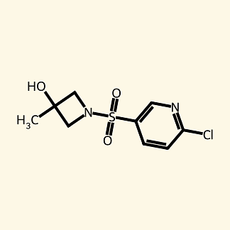 CC1(O)CN(S(=O)(=O)c2ccc(Cl)nc2)C1